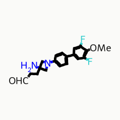 COc1c(F)cc(-c2ccc(N3CC(N)(CCC=O)C3)cc2)cc1F